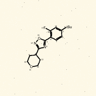 CC(C)(C)c1ccc(-c2nc(C3CCOCC3)no2)c(F)c1